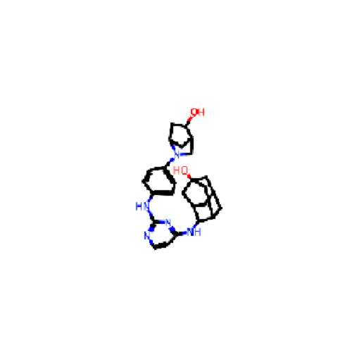 OC1CC2CC1CN2c1ccc(Nc2nccc(NC3C4CC5CC3CC(O)(C5)C4)n2)cc1